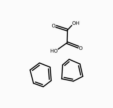 O=C(O)C(=O)O.c1ccccc1.c1ccccc1